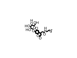 CN(C)CCNC(=O)Cc1cc(=O)oc2cc(OC3OC(CO)C(O)C(O)C3O)c(Cl)cc12